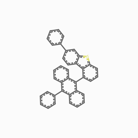 c1ccc(-c2ccc3c(c2)sc2cccc(-c4c5ccccc5c(-c5ccccc5)c5ccccc45)c23)cc1